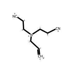 C=CCN(CCC#N)CCC#N